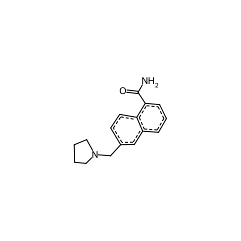 NC(=O)c1cccc2cc(CN3CCCC3)ccc12